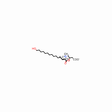 C[N+](C)(C)CC(CC(=O)[O-])OC(=O)C=CCCCCCCCCCCCCO